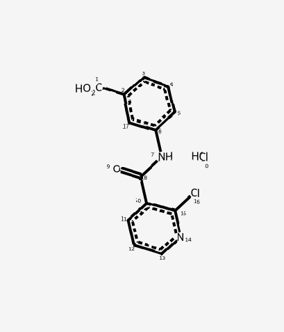 Cl.O=C(O)c1cccc(NC(=O)c2cccnc2Cl)c1